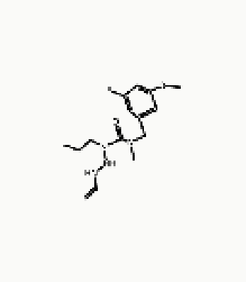 C=CNNN(CCC)C(=O)N(C)Cc1cc(F)cc(OC)c1